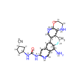 Cc1c(-c2cc3cc(NC(=O)N[C@H]4CC[C@H](C#N)C4)ncc3c(N)c2F)cnc2c1NCCO2